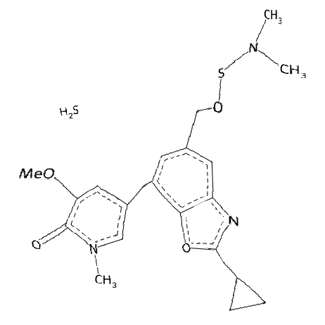 COc1cc(-c2cc(COSN(C)C)cc3nc(C4CC4)oc23)cn(C)c1=O.S